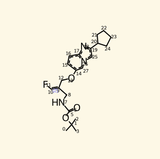 CC(C)(C)OC(=O)NC/C(=C/F)COc1ccc2nc(C3CCCC3)cn2c1